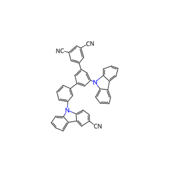 N#Cc1cc(C#N)cc(-c2cc(-c3cccc(-n4c5ccccc5c5cc(C#N)ccc54)c3)cc(-n3c4ccccc4c4ccccc43)c2)c1